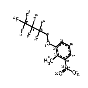 Cc1c(OCC(F)(F)C(F)(F)C(F)(F)F)cccc1[N+](=O)[O-]